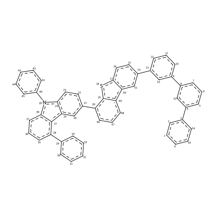 c1ccc(-c2cccc(-c3cccc(-c4ccc5sc6c(-c7ccc8c(c7)c7c(-c9ccccc9)cccc7n8-c7ccccc7)cccc6c5c4)c3)c2)cc1